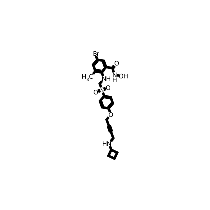 Cc1cc(Br)cc(C(=O)NO)c1NCS(=O)(=O)c1ccc(OCC#CCNC2CCC2)cc1